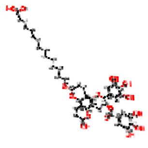 O=C(O)CCCCCCCCCCCCCCOC1CCc2c(OCc3cc(O)c(O)c(O)c3)c(CCOC(=O)c3cc(O)c(O)c(O)c3)c3c(c2O1)CCC(O)O3